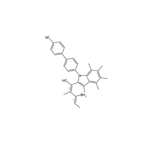 BC(=C\C)/C(C)=C(/O)c1c(C)c2c(C)c(C)c(C)c(C)c2n1-c1ccc(-c2ccc(C#N)cc2)cc1